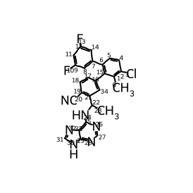 Cc1c(Cl)ccc(-c2cc(F)cc(F)c2)c1-c1ccc(C#N)c(C(C)Nc2ncnc3[nH]cnc23)c1